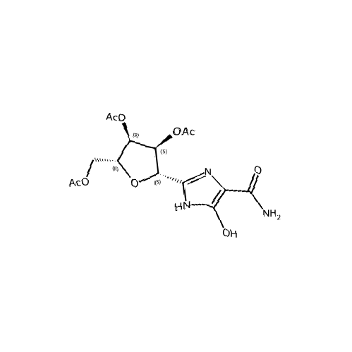 CC(=O)OC[C@H]1O[C@@H](c2nc(C(N)=O)c(O)[nH]2)[C@H](OC(C)=O)[C@@H]1OC(C)=O